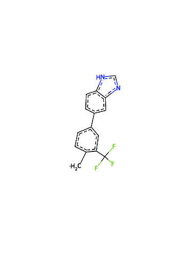 [CH2]c1ccc(-c2ccc3[nH]cnc3c2)cc1C(F)(F)F